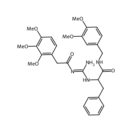 COc1ccc(CNC(=O)C(Cc2ccccc2)NC(N)=NC(=O)Cc2ccc(OC)c(OC)c2OC)cc1OC